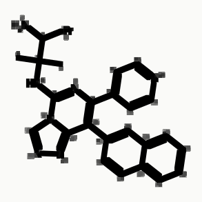 CC(C)C(N)C(C)(C)Nc1nc(-c2ccncc2)c(-c2ccc3ccccc3c2)c2nncn12